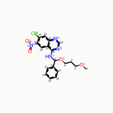 COCCCOC(Nc1ncnc2cc(Cl)c([N+](=O)[O-])cc12)c1ccccc1